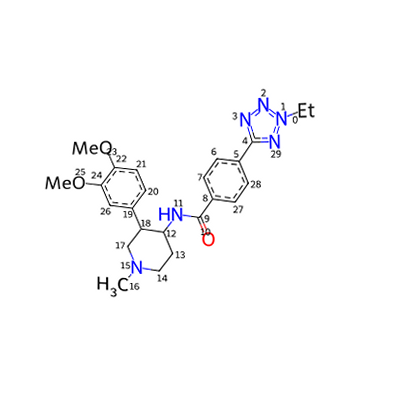 CCn1nnc(-c2ccc(C(=O)NC3CCN(C)CC3c3ccc(OC)c(OC)c3)cc2)n1